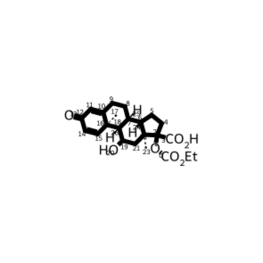 CCOC(=O)OC1(C(=O)O)CC[C@H]2[C@@H]3CCC4=CC(=O)C=C[C@]4(C)[C@@H]3C(O)C[C@@]21C